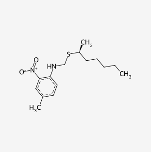 CCCCC[C@H](C)SCNc1ccc(C)cc1[N+](=O)[O-]